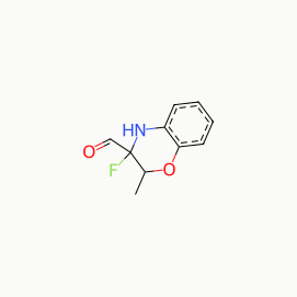 CC1Oc2ccccc2NC1(F)C=O